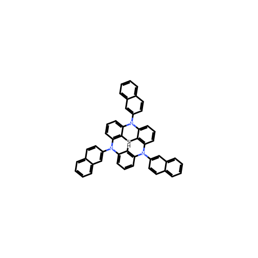 c1cc2c3c(c1)N(c1ccc4ccccc4c1)c1cccc4c1[SiH]3c1c(cccc1N4c1ccc3ccccc3c1)N2c1ccc2ccccc2c1